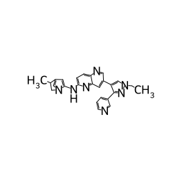 CCn1cc(-c2cnc3ccc(Nc4cc5cn4CC5C)nc3c2)c(-c2cccnc2)n1